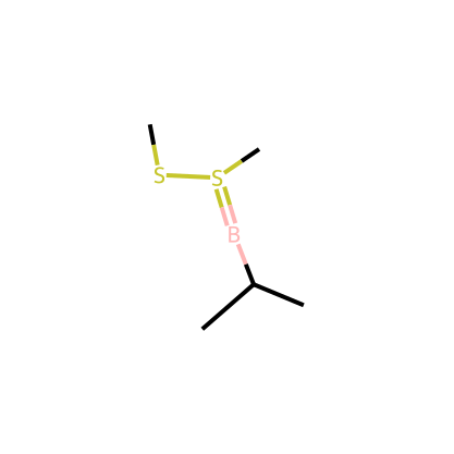 CS/S(C)=B/C(C)C